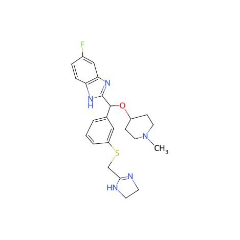 CN1CCC(OC(c2cccc(SCC3=NCCN3)c2)c2nc3cc(F)ccc3[nH]2)CC1